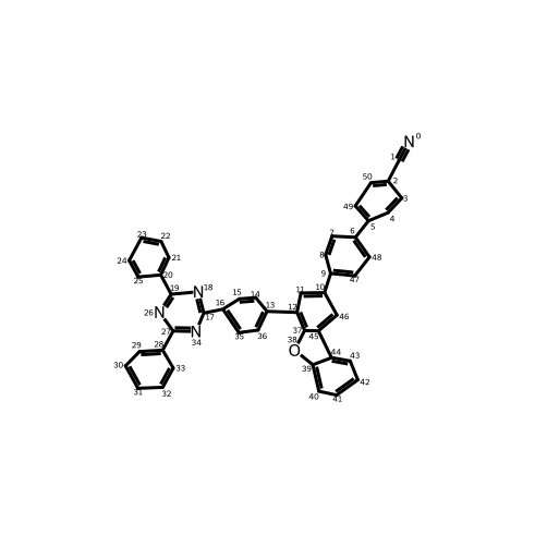 N#Cc1ccc(-c2ccc(-c3cc(-c4ccc(-c5nc(-c6ccccc6)nc(-c6ccccc6)n5)cc4)c4oc5ccccc5c4c3)cc2)cc1